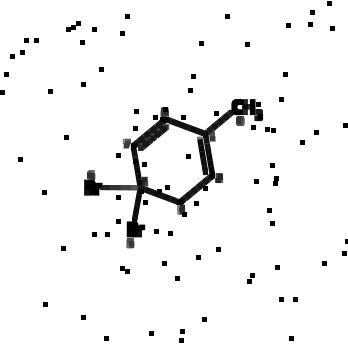 CC1=CCC(Br)(Br)C=C1